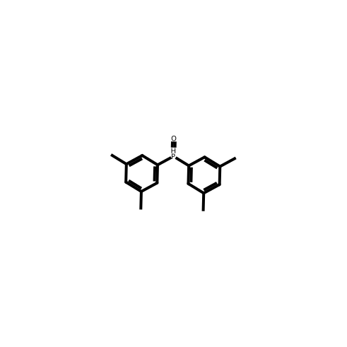 Cc1cc(C)cc([PH](=O)c2cc(C)cc(C)c2)c1